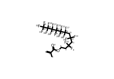 C=C(C)C(=O)OCCC(F)(F)CC(F)(F)CC(F)(F)C(F)(F)C(F)(F)C(F)(F)C(F)(F)C(F)(F)F